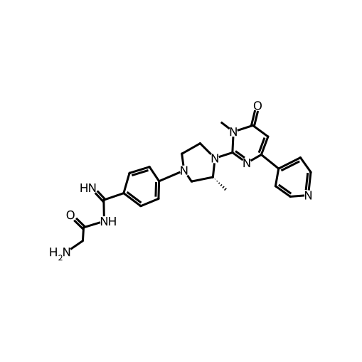 C[C@@H]1CN(c2ccc(C(=N)NC(=O)CN)cc2)CCN1c1nc(-c2ccncc2)cc(=O)n1C